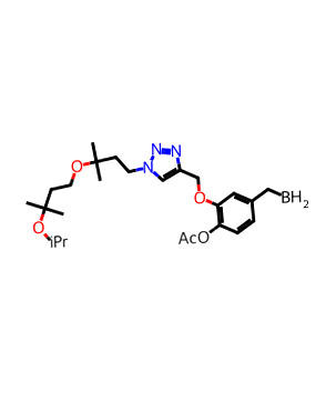 BCc1ccc(OC(C)=O)c(OCc2cn(CCC(C)(C)OCCC(C)(C)OC(C)C)nn2)c1